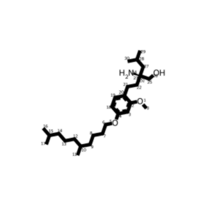 COc1cc(OCCCCC(C)CCCC(C)C)ccc1CC[C@@](N)(CO)CC(C)C